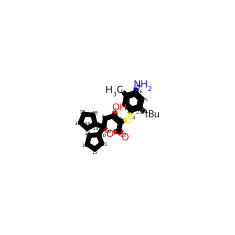 Cc1cc(SC2=C(O)CC(C3CCCC3)(C3CCCC3)OC2=O)c(C(C)(C)C)cc1N